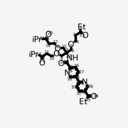 CCC(=O)CCOCC(COCCC(=O)C(C)C)(COCCC(=O)C(C)C)NC(=O)c1ccc(-c2ccc(C(=O)CC)cn2)cn1